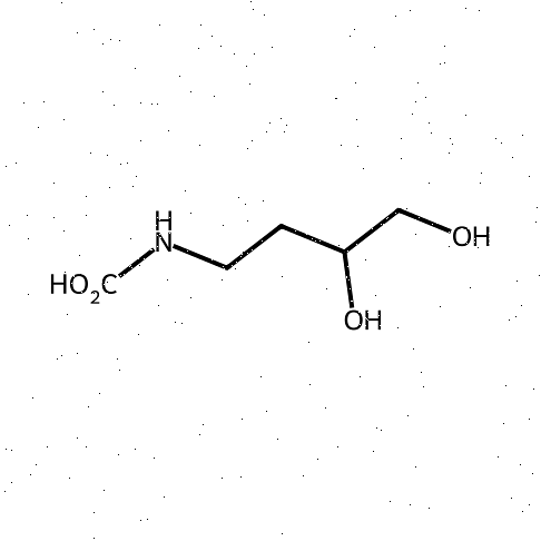 O=C(O)NCCC(O)CO